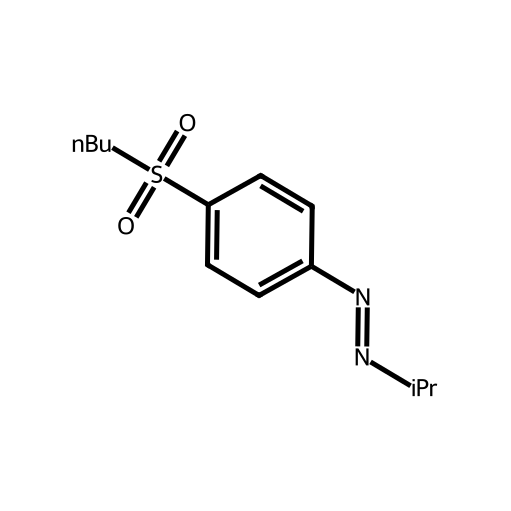 CCCCS(=O)(=O)c1ccc(/N=N/C(C)C)cc1